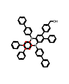 OCc1ccc(-c2cc(N(c3ccc(-c4ccccc4)cc3)c3ccc(-c4ccccc4)cc3)c(N(c3ccc(-c4ccccc4)cc3)c3ccc(-c4ccccc4)cc3)cc2-c2ccccc2)cc1